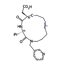 CC(C)[C@@H]1NC(=O)[C@@H](CC(=O)O)CCC/C=C/CCCN(Cc2cccnc2)C1=O